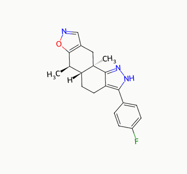 C[C@H]1c2oncc2C[C@@]2(C)c3n[nH]c(-c4ccc(F)cc4)c3CC[C@H]12